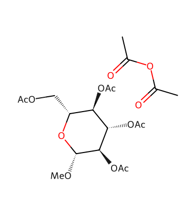 CC(=O)OC(C)=O.CO[C@@H]1O[C@H](COC(C)=O)[C@@H](OC(C)=O)[C@H](OC(C)=O)[C@H]1OC(C)=O